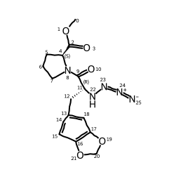 COC(=O)[C@@H]1CCCN1C(=O)[C@@H](Cc1ccc2c(c1)OCO2)NN=[N+]=[N-]